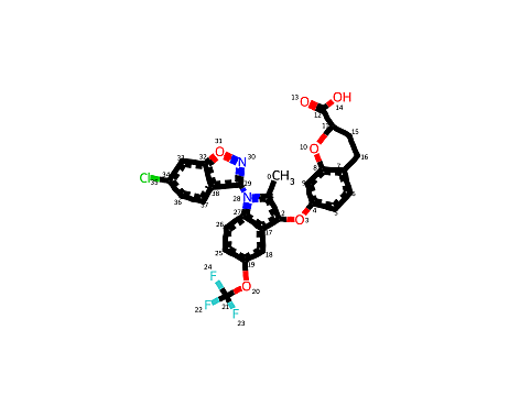 Cc1c(Oc2ccc3c(c2)OC(C(=O)O)CC3)c2cc(OC(F)(F)F)ccc2n1-c1noc2cc(Cl)ccc12